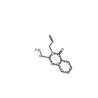 C=CCn1c(NN)nc2ccccc2c1=O